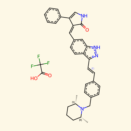 C[C@@H]1CCC[C@H](C)N1Cc1ccc(/C=C/c2n[nH]c3cc(C=C4C(=O)NC=C4c4ccccc4)ccc23)cc1.O=C(O)C(F)(F)F